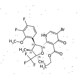 CCOC(=O)c1c([C@@H]2O[C@@](C)(C(F)(F)F)[C@@H](C)[C@H]2c2ccc(F)c(F)c2OC)[nH]cc(Br)c1=O